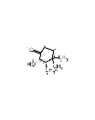 C[C@H]1[C@H](O)C(=O)CCC1(C)C